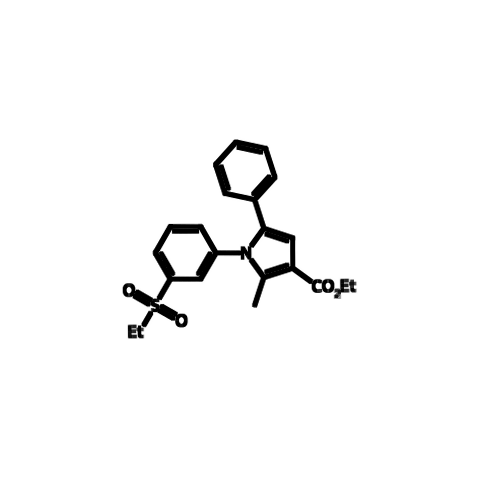 CCOC(=O)c1cc(-c2ccccc2)n(-c2cccc(S(=O)(=O)CC)c2)c1C